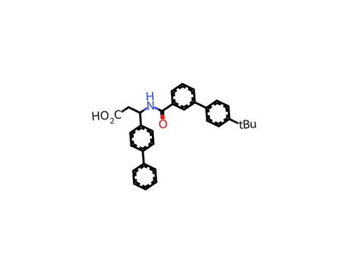 CC(C)(C)c1ccc(-c2cccc(C(=O)NC(CC(=O)O)c3ccc(-c4ccccc4)cc3)c2)cc1